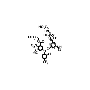 CCNc1nc(Cl)nc(NCC)n1.CCOC(=O)COC(=O)c1cc(Oc2ccc(C(F)(F)F)cc2Cl)ccc1[N+](=O)[O-].C[S+](C)C.O=C(O)CNCP(=O)([O-])O